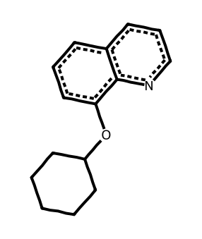 c1cnc2c(OC3CCCCC3)cccc2c1